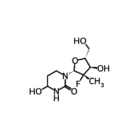 C[C@]1(F)[C@H](O)[C@@H](CO)O[C@H]1N1CCC(O)NC1=O